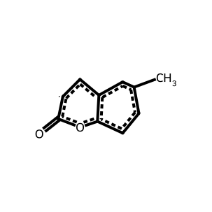 Cc1ccc2oc(=O)[c]cc2c1